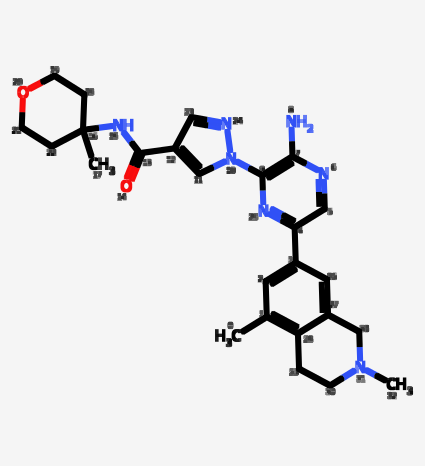 Cc1cc(-c2cnc(N)c(-n3cc(C(=O)NC4(C)CCOCC4)cn3)n2)cc2c1CCN(C)C2